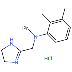 Cc1cccc(N(CC2=NCCN2)C(C)C)c1C.Cl